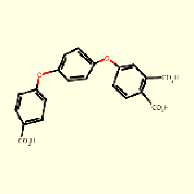 O=C(O)c1ccc(Oc2ccc(Oc3ccc(C(=O)O)c(C(=O)O)c3)cc2)cc1